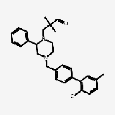 Cc1ccc(Cl)c(-c2ccc(CN3CCN(CC(C)(C)C=O)C(c4ccccc4)C3)cc2)c1